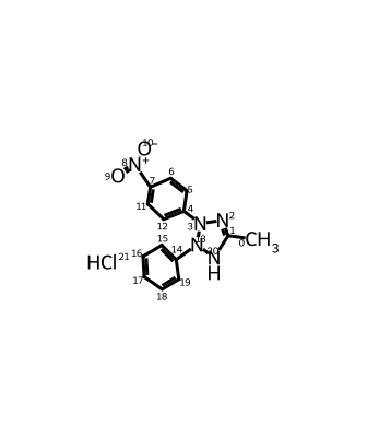 CC1=NN(c2ccc([N+](=O)[O-])cc2)N(c2ccccc2)N1.Cl